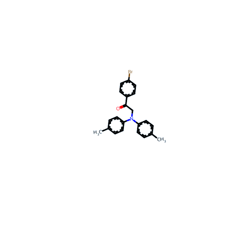 Cc1ccc(N(CC(=O)c2ccc(Br)cc2)c2ccc(C)cc2)cc1